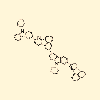 c1ccc(-n2c3ccccc3c3cc(-c4ccc5c(n4)-c4cccc6cc(-c7ccc8c(c7)c7ccc(-c9ccc%10c(n9)-c9cccc%11cccc-%10c9%11)cc7n8-c7ccccc7)cc-5c46)ccc32)cc1